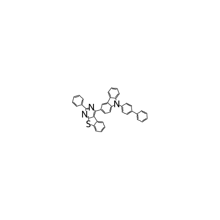 c1ccc(-c2ccc(-n3c4ccccc4c4cc(-c5nc(-c6ccccc6)nc6sc7ccccc7c56)ccc43)cc2)cc1